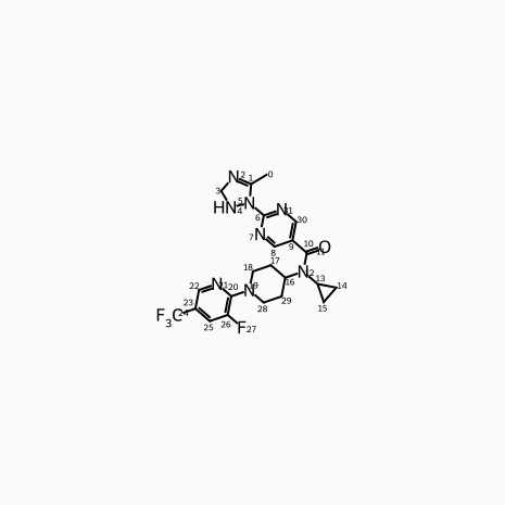 CC1=NCNN1c1ncc(C(=O)N(C2CC2)C2CCN(c3ncc(C(F)(F)F)cc3F)CC2)cn1